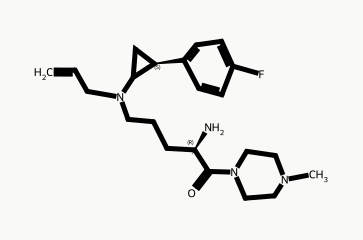 C=CCN(CCC[C@@H](N)C(=O)N1CCN(C)CC1)C1C[C@H]1c1ccc(F)cc1